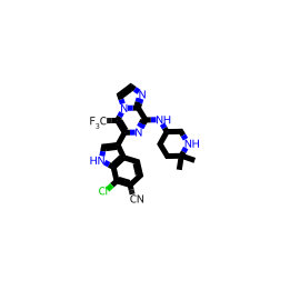 CC1(C)CCC(Nc2nc(-c3c[nH]c4c(Cl)c(C#N)ccc34)c(C(F)(F)F)n3ccnc23)CN1